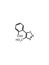 O=Cc1ccccc1-c1snnc1C(=O)O